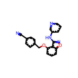 N#Cc1ccc(COc2cccc3onc(Nc4cccnc4)c23)cc1